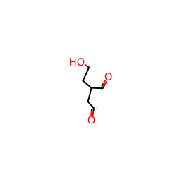 O=[C]CC(C=O)CCO